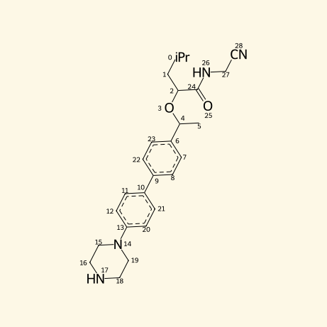 CC(C)CC(OC(C)c1ccc(-c2ccc(N3CCNCC3)cc2)cc1)C(=O)NCC#N